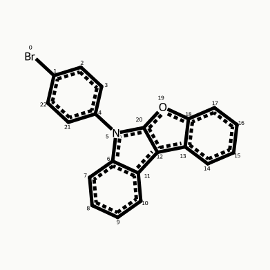 Brc1ccc(-n2c3ccccc3c3c4ccccc4oc32)cc1